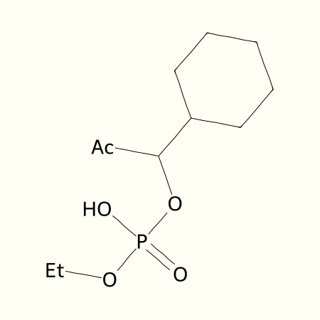 CCOP(=O)(O)OC(C(C)=O)C1CCCCC1